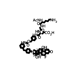 CC(=O)N[C@@H](CCCCN)C(=O)NCC(=O)N[C@@H](CCC(=O)O)C(=O)Nc1ccc(COC(=O)Nc2cccc(Cc3ccc(N4C[C@@H]5C[C@H]6[C@@H]7C[C@H](F)C8=CC(=O)C=C[C@]8(C)[C@H]7[C@@H](O)C[C@]6(C)[C@]5(C(=O)CO)C4)cc3)c2)cc1